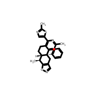 Cc1nc(-c2cnc(C)s2)c2c(n1)[C@@]1(c3ccccc3)Cc3cnoc3[C@@H](C)[C@@H]1CC2